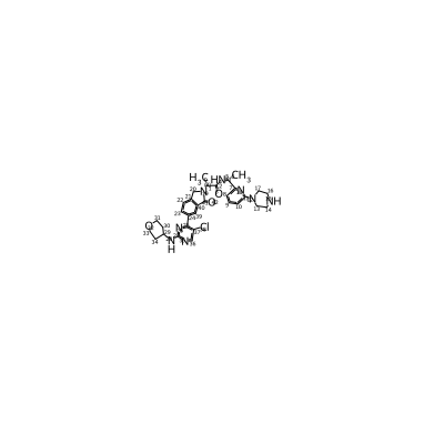 C[C@H](C(=O)N[C@H](C)c1cccc(N2CCNCC2)n1)N1Cc2ccc(-c3nc(NC4CCOCC4)ncc3Cl)cc2C1=O